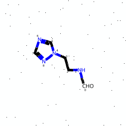 O=CNCCn1cncn1